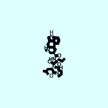 CCC[C@@]1(NC(=O)[C@@H]2C=C3c4cccc5[nH]cc(c45)C[C@H]3N(C)C2)OC2[C@@H]3CCCN3C(=O)C(CC(C)C)N2C1=O